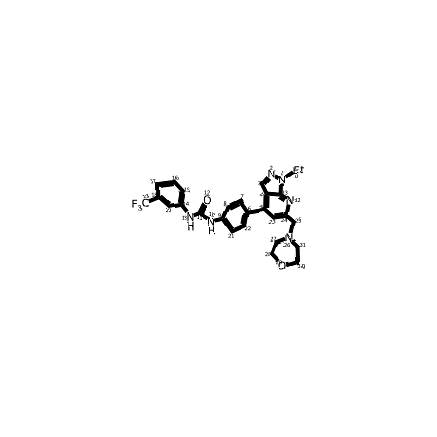 CCn1ncc2c(-c3ccc(NC(=O)Nc4cccc(C(F)(F)F)c4)cc3)cc(CN3CCOCC3)nc21